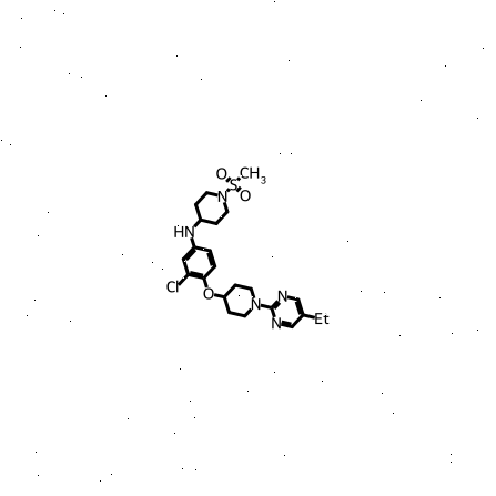 CCc1cnc(N2CCC(Oc3ccc(NC4CCN(S(C)(=O)=O)CC4)cc3Cl)CC2)nc1